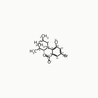 CC(C)CN(CC(C)C)c1c(Cl)cc(Br)cc1[N+](=O)[O-]